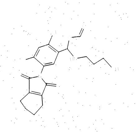 CCCCNC(OC=O)c1cc(N2C(=O)C3=C(CCCC3)C2=O)c(F)cc1Cl